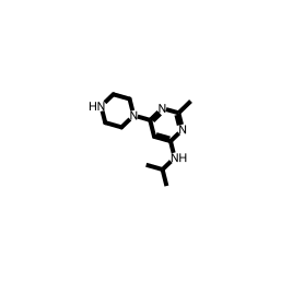 Cc1nc(NC(C)C)cc(N2CCNCC2)n1